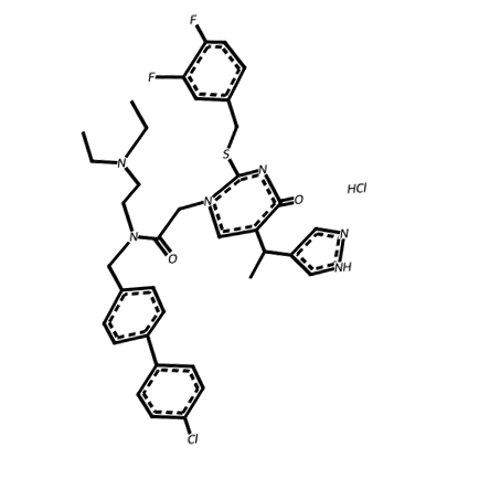 CCN(CC)CCN(Cc1ccc(-c2ccc(Cl)cc2)cc1)C(=O)Cn1cc(C(C)c2cn[nH]c2)c(=O)nc1SCc1ccc(F)c(F)c1.Cl